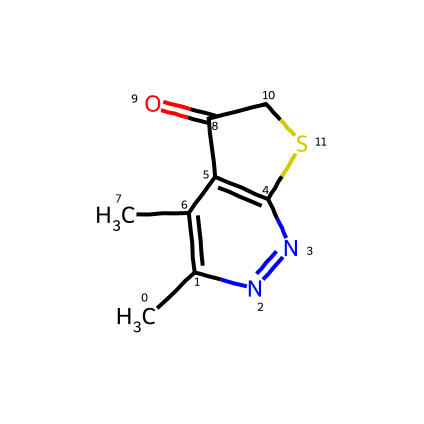 Cc1nnc2c(c1C)C(=O)CS2